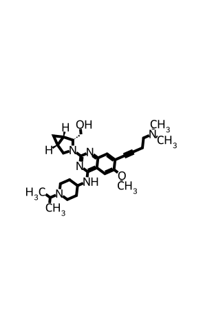 COc1cc2c(NC3CCN(C(C)C)CC3)nc(N3C[C@@H]4C[C@@H]4[C@@H]3CO)nc2cc1C#CCCN(C)C